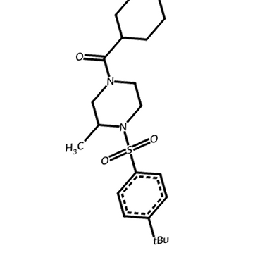 CC1CN(C(=O)C2CCCCC2)CCN1S(=O)(=O)c1ccc(C(C)(C)C)cc1